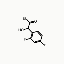 CCC(=O)C(O)c1ccc(F)cc1F